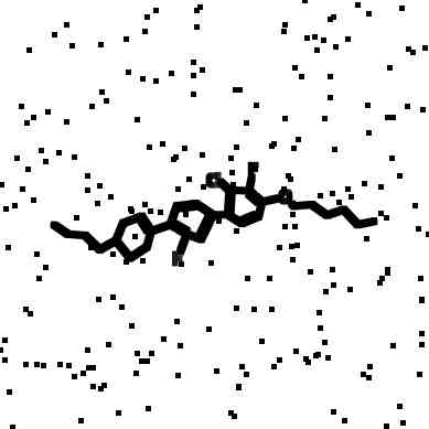 CCCCCCOc1ccc(-c2ccc(C3=CCC(CCCC)CC3)c(F)c2)c(Cl)c1F